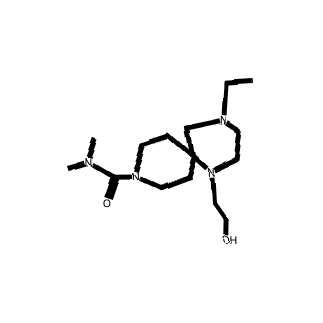 CCN1CCN(CCO)C2(CCN(C(=O)N(C)C)CC2)C1